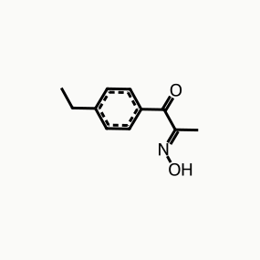 CCc1ccc(C(=O)C(C)=NO)cc1